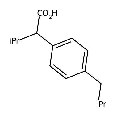 CC(C)Cc1ccc(C(C(=O)O)C(C)C)cc1